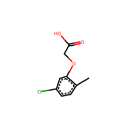 Cc1ccc(Cl)cc1OCC(=O)O